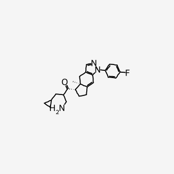 C[C@]12Cc3cnn(-c4ccc(F)cc4)c3C=C1CC[C@@H]2C(=O)C(CN)CC1CC1